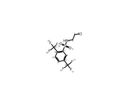 O=S(=O)(NCCCl)c1cc(C(F)(F)F)ccc1C(F)(F)F